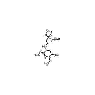 COOP(=O)(CCNC1CC(C(C)(C)C)C(CO)OC1OC(C)(C)C)OOC